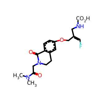 CN(C)C(=O)CN1CCc2cc(OC/C(=C\F)CNC(=O)O)ccc2C1=O